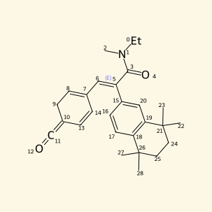 CCN(C)C(=O)/C(=C/C1=CCC(=C=O)C=C1)c1ccc2c(c1)C(C)(C)CCC2(C)C